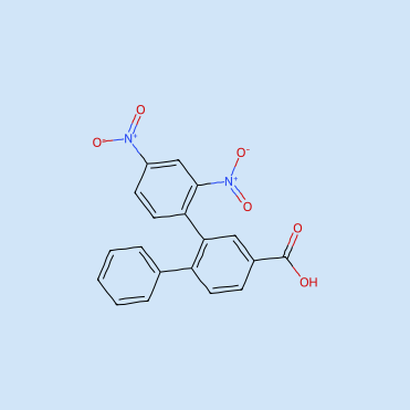 O=C(O)c1ccc(-c2ccccc2)c(-c2ccc([N+](=O)[O-])cc2[N+](=O)[O-])c1